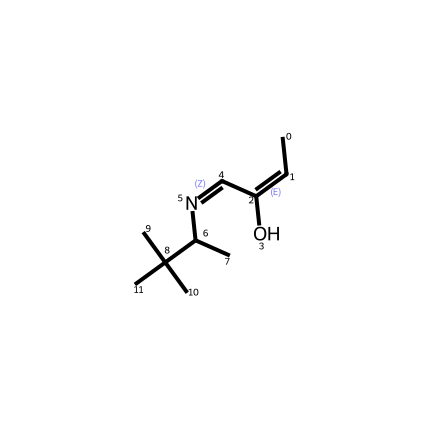 C/C=C(O)\C=N/C(C)C(C)(C)C